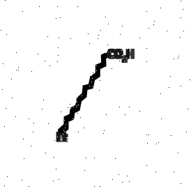 CCC=CC=CC=CCCCCCCCCCC(=O)O